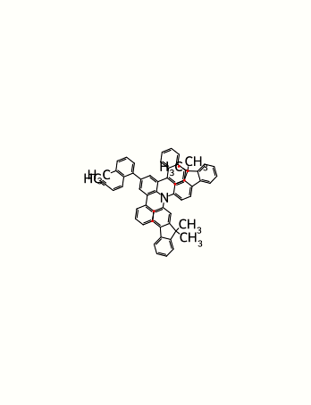 C#C/C=C\c1c(C)cccc1-c1cc(-c2ccccc2)c(N(c2ccc3c(c2)C(C)(C)c2ccccc2-3)c2ccc3c(c2)C(C)(C)c2ccccc2-3)c(-c2cccc3ccccc23)c1